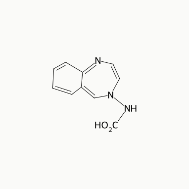 O=C(O)NN1C=CN=c2ccccc2=C1